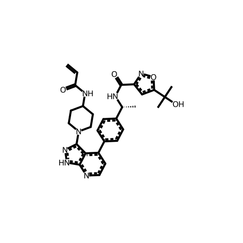 C=CC(=O)NC1CCN(c2n[nH]c3nccc(-c4ccc([C@@H](C)NC(=O)c5cc(C(C)(C)O)on5)cc4)c23)CC1